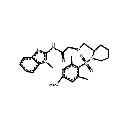 COc1cc(C)c(S(=O)(=O)N2CCCCC2COCC(=O)Nc2nc3ccccc3n2C)c(C)c1